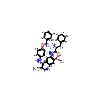 CCOc1cc2ncc(C#N)c(Nc3ccc(OCc4ccccc4)cc3)c2cc1NC(=O)[C@@H](N)Cc1ccccc1